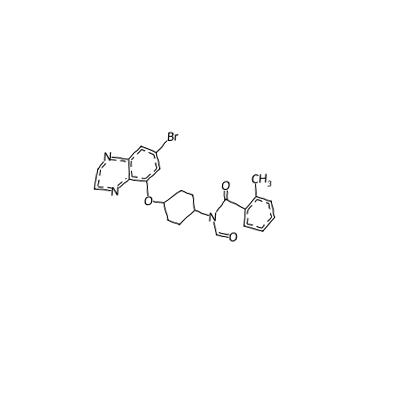 Cc1ccccc1C(=O)N(C=O)C1CCC(Oc2cc(Br)cc3nccnc23)CC1